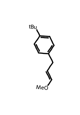 COC=CCc1ccc(C(C)(C)C)cc1